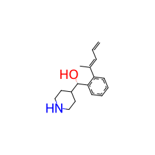 C=C/C=C(\C)c1ccccc1[C@@H](O)C1CCNCC1